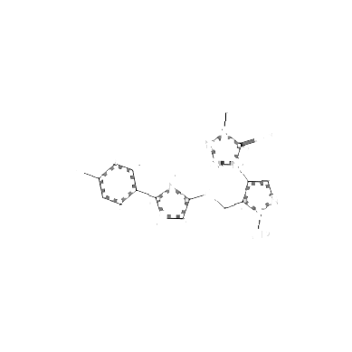 Cn1nnn(-c2cnn(C(C)(C)C)c2COc2csc(-c3ccc(Br)cc3)n2)c1=O